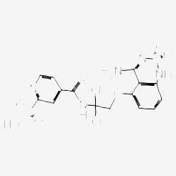 CC(C)(COc1cccc2c1C(N)=NS(=O)(=O)N2)NC(=O)c1ccnc(S(C)(=O)=O)c1